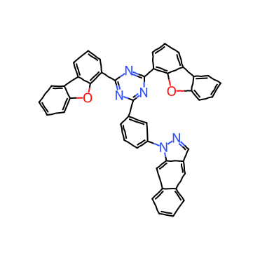 c1cc(-c2nc(-c3cccc4c3oc3ccccc34)nc(-c3cccc4c3oc3ccccc34)n2)cc(-n2ncc3cc4ccccc4cc32)c1